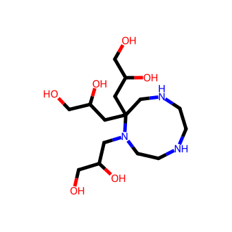 OCC(O)CN1CCNCCNCC1(CC(O)CO)CC(O)CO